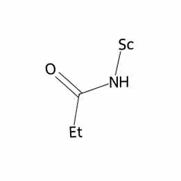 CCC(=O)[NH][Sc]